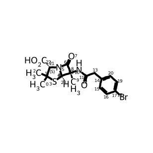 CC1(C)S[C@H]2N(C(=O)[C@]2(C)NC(=O)Cc2ccc(Br)cc2)[C@H]1C(=O)O